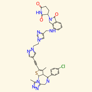 CC1=C(C#Cc2cnn(CCn3cnc(CNc4cccc5c4CN(C4CCC(=O)NC4=O)C5=O)c3)c2)SC2C1C(c1ccc(Cl)cc1)=NCc1nnc(C)n12